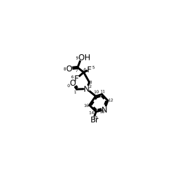 O=CN(CC(F)(F)C(=O)O)c1ccnc(Br)c1